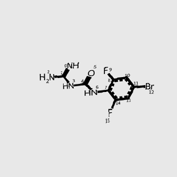 N=C(N)NC(=O)Nc1c(F)cc(Br)cc1F